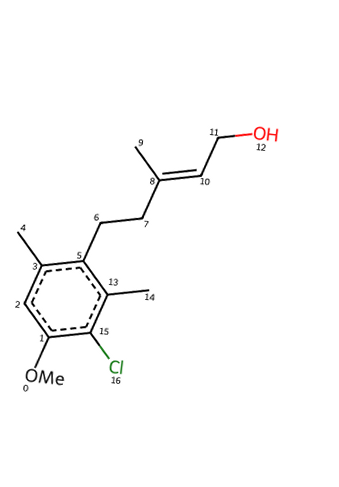 COc1cc(C)c(CC/C(C)=C/CO)c(C)c1Cl